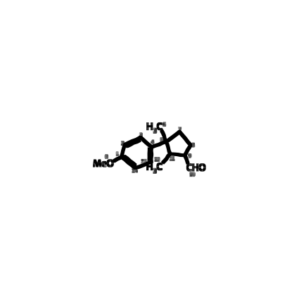 COc1ccc(C2(C)CCC(C=O)C2C)cc1